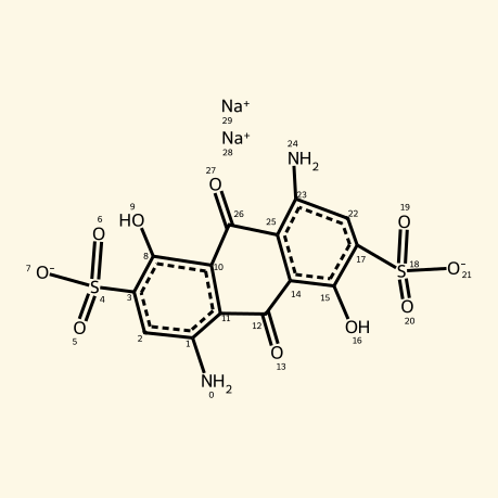 Nc1cc(S(=O)(=O)[O-])c(O)c2c1C(=O)c1c(O)c(S(=O)(=O)[O-])cc(N)c1C2=O.[Na+].[Na+]